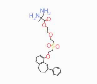 CC(N)(CN)C(=O)OCCOCCS(=O)(=O)CCOc1cccc2c1C=C(c1ccccc1)CCC2